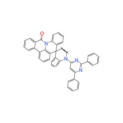 O=c1c2ccccc2c2cccc3c2n1-c1ccccc1C31c2ccccc2N(c2cc(-c3ccccc3)nc(-c3ccccc3)n2)c2ccccc21